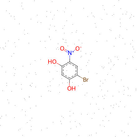 O=[N+]([O-])c1cc(Br)c(O)cc1O